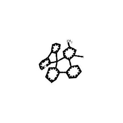 Cc1cc(I)c2c(c1)C1(c3ccccc3-c3ccccc3-2)c2ccccc2-c2ccccc21